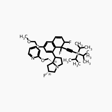 COCOc1cc2c(c(C3CCN4C[C@H](F)C[C@@]34COc3ccccn3)c1)C(F)(C#C[Si](C(C)C)(C(C)C)C(C)C)C(F)C=C2